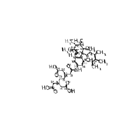 CCC(C)C(C)C(C)C(C)C(C)(c1ccc(NC(=O)CN(CCN(CC(=O)O)CC(=O)O)CC(=O)O)cc1)C(C)C(C)C(C)C(C)CC